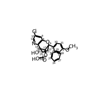 COc1ccc(C23Oc4cc(Cl)cnc4[C@@](O)(C2=O)[C@@H](C(=O)O)[C@H]3c2ccccc2)cc1